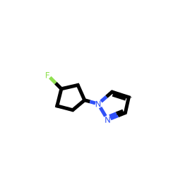 FC1CCC(n2c[c]cn2)C1